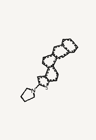 c1ccc2cc3c(ccc4c5cc(N6CCCC6)sc5ccc34)cc2c1